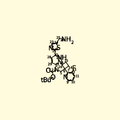 CC(C)(C)OC(=O)N(CC1(c2ncccc2F)CCC1)C1=NNC(c2ncc(CN)s2)C=C1